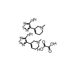 CCCc1nsnc1C1=CCCN(C)C1.CCCc1nsnc1C1=CCCN(C)C1.O=C(O)C(=O)O